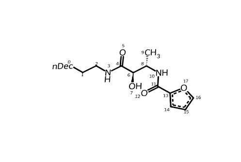 CCCCCCCCCCCCNC(=O)[C@H](O)[C@H](C)NC(=O)c1ccco1